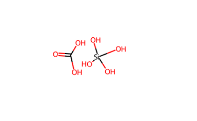 O=C(O)O.O[Si](O)(O)O